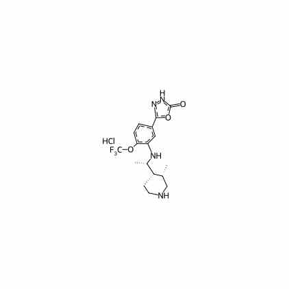 C[C@@H]1CNCC[C@@H]1[C@H](C)Nc1cc(-c2n[nH]c(=O)o2)ccc1OC(F)(F)F.Cl